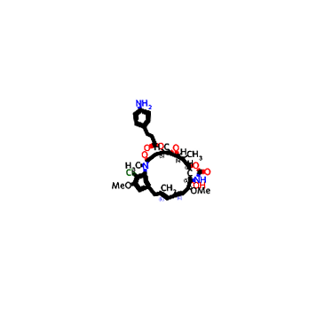 COc1cc2cc(c1Cl)N(C)C(=O)C[C@H](OC(=O)CCc1ccc(N)cc1)[C@]1(C)O[C@H]1[C@H](C)[C@@H]1C[C@@](O)(NC(=O)O1)[C@H](OC)/C=C/C=C(\C)C2